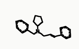 C(=Cc1ccccc1)CN(Cc1ccccc1)C1CCCC1